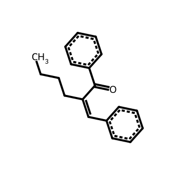 CCCCC(=Cc1ccccc1)C(=O)c1ccccc1